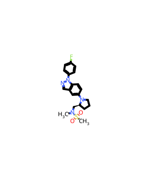 CN(C[C@@H]1CCCN1c1ccc2c(cnn2-c2ccc(F)cc2)c1)S(C)(=O)=O